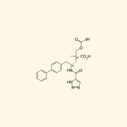 CC(C)C(=O)OC[C@](C)(C[C@@H](Cc1ccc(-c2ccccc2)cc1)NC(=O)c1cnn[nH]1)C(=O)O